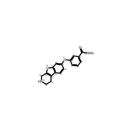 CNC(=O)c1cccc(Oc2ccc3c4c(oc3c2)CNCC4)c1